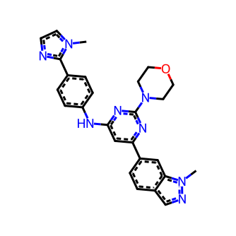 Cn1ccnc1-c1ccc(Nc2cc(-c3ccc4cnn(C)c4c3)nc(N3CCOCC3)n2)cc1